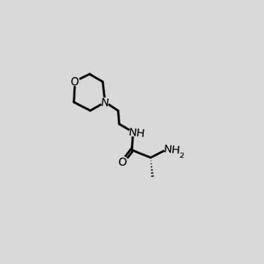 C[C@@H](N)C(=O)NCCN1CCOCC1